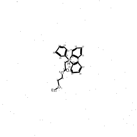 CCOCCOC(=O)C[PH](c1ccccc1)(c1ccccc1)c1ccccc1